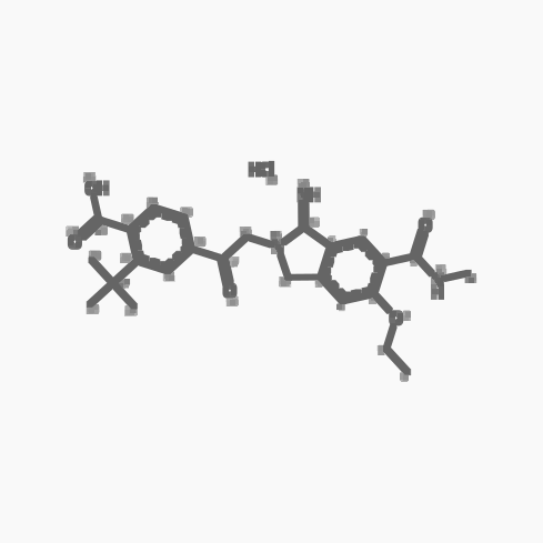 CCOc1cc2c(cc1C(=O)NC)C(=N)N(CC(=O)c1ccc(C(=O)O)c(C(C)(C)C)c1)C2.Cl